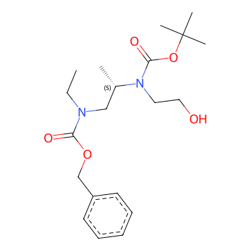 CCN(C[C@H](C)N(CCO)C(=O)OC(C)(C)C)C(=O)OCc1ccccc1